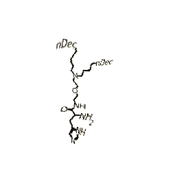 CCCCCCCCCCCCCCN(CCCCCCCCCCCCCC)CCOCCNC(=O)C(N)Cc1cnc[nH]1